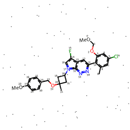 COCOc1cc(Cl)cc(C)c1-c1cc2c(F)cn(C3CC(C)(OCc4ccc(OC)cc4)C3)c2nn1